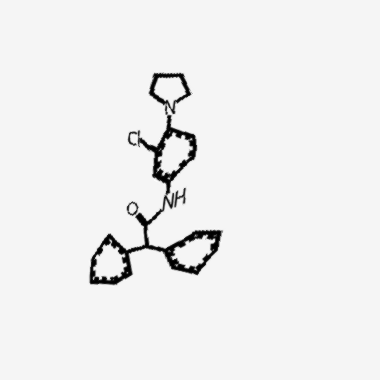 O=C(Nc1ccc(N2CCCC2)c(Cl)c1)C(c1ccccc1)c1ccccc1